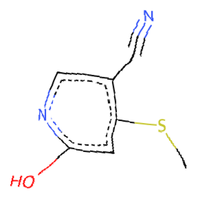 CSc1cc(O)ncc1C#N